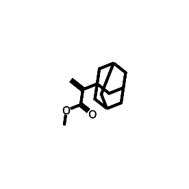 C=C(C(=O)OC)C12CC3CC(CC(C3)C1)C2